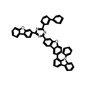 c1ccc(-c2cccc(-c3nc(-c4ccc5c(c4)oc4ccccc45)nc(-c4ccc5c(c4)oc4ccc(-c6cccc7c8ccccc8n(-c8ccccc8)c67)cc45)n3)c2)cc1